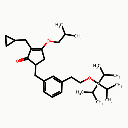 CC(C)COC1=C(CC2CC2)C(=O)C(Cc2cccc(CCO[Si](C(C)C)(C(C)C)C(C)C)c2)C1